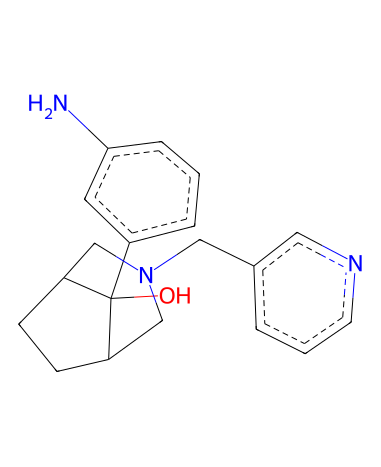 Nc1cccc(C2(O)C3CCC2CN(Cc2cccnc2)C3)c1